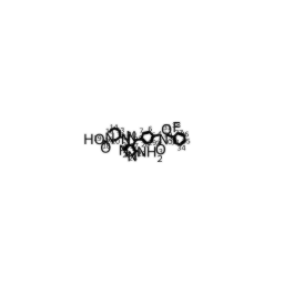 C[N+](C=O)(Cc1ccc(-c2nn([C@@H]3CCCN(C(=O)O)C3)c3ncnc(N)c23)cc1)C(=O)c1ccccc1F